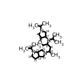 CC(C)N1CC2OCC(CC(C)N3CC4CCN(C(C)C)C4C3)N(C(C)C)C2C1